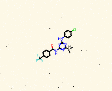 [CH3][SnH]([CH3])[c]1nc(NC(=O)c2ccc(C(F)(F)F)cc2)nc(Nc2ccc(Cl)cc2)n1